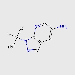 CCCC(C)(CC)n1ncc2cc(N)cnc21